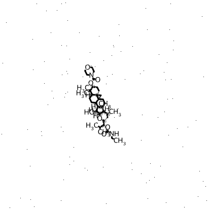 CCNC(=O)O[C@H](C(C)C)[C@H]1C[C@@H](C)[C@H]2[C@H](O1)[C@H](O)[C@@]1(C)[C@@H]3CC[C@H]4C(C)(C)[C@@H](OC(=O)N5CCOCC5)CC[C@@]45C[C@@]35CC[C@]21C